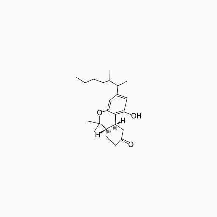 CCCCC(C)C(C)c1cc(O)c2c(c1)OC(C)(C)[C@H]1CCC(=O)C[C@@H]21